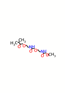 COCC(=O)NCCOCC(=O)NCCOCC(=O)C(C)C